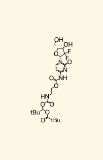 CC(C)(C)C(=O)OC(OC(=O)NCCOC(=O)Nc1ccn([C@@H]2O[C@H](CO)[C@@H](O)C2(F)F)c(=O)n1)C(C)(C)C